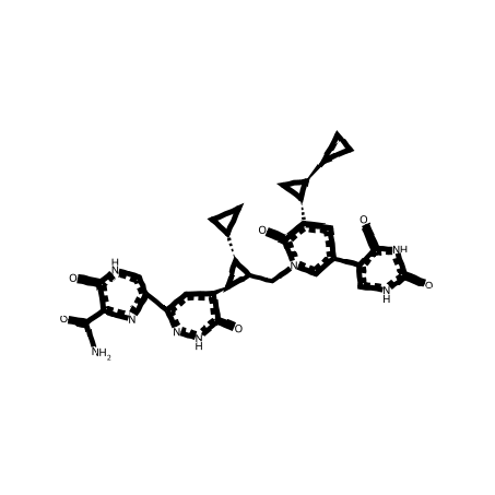 NC(=O)c1nc(-c2cc([C@@H]3C(Cn4cc(-c5c[nH]c(=O)[nH]c5=O)cc([C@@H]5C[C@H]5C5CC5)c4=O)[C@H]3C3CC3)c(=O)[nH]n2)c[nH]c1=O